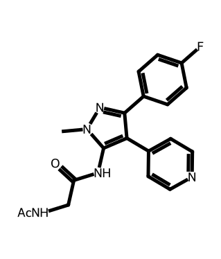 CC(=O)NCC(=O)Nc1c(-c2ccncc2)c(-c2ccc(F)cc2)nn1C